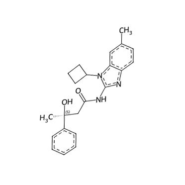 Cc1ccc2nc(NC(=O)C[C@](C)(O)c3ccccc3)n(C3CCC3)c2c1